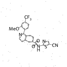 COc1cc(C(F)(F)F)ccc1-c1nccc2cc(S(=O)(=O)Nc3ncc(C#N)s3)ccc12